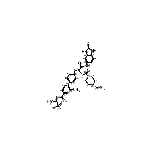 Cc1nc(C(=O)NC(C)C(F)(F)F)ccc1-c1ccc(C[C@H](NC(=O)[C@H]2CC[C@H](CN)CC2)C(=O)Nc2ccc3[nH]c(=O)[nH]c3c2)cc1